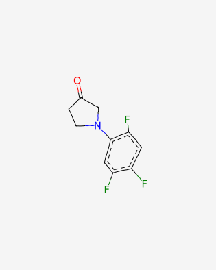 O=C1CCN(c2cc(F)c(F)cc2F)C1